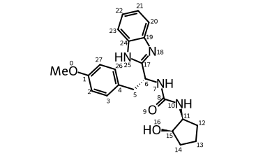 COc1ccc(C[C@@H](NC(=O)N[C@H]2CCC[C@H]2O)c2nc3ccccc3[nH]2)cc1